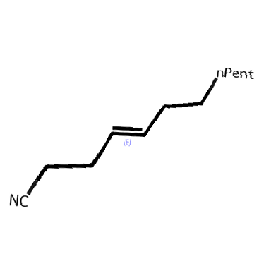 CCCCCCC/C=C/CCC#N